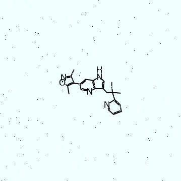 Cc1noc(C)c1-c1cnc2c(CC(C)(I)c3ccccn3)c[nH]c2c1